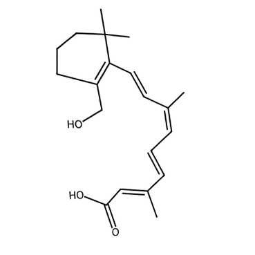 CC(C=C/C=C(/C)C=CC1=C(CO)CCCC1(C)C)=CC(=O)O